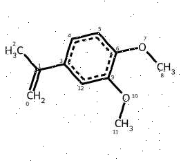 C=C(C)c1ccc(OC)c(OC)c1